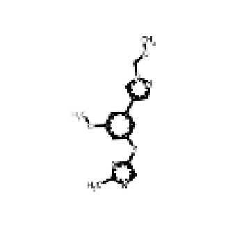 COCn1cc(-c2cc(OC)cc(Sc3cnc(C)s3)c2)cn1